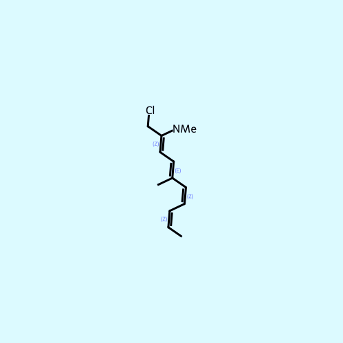 C\C=C/C=C\C(C)=C\C=C(\CCl)NC